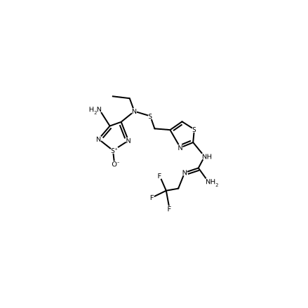 CCN(SCc1csc(NC(N)=NCC(F)(F)F)n1)c1n[s+]([O-])nc1N